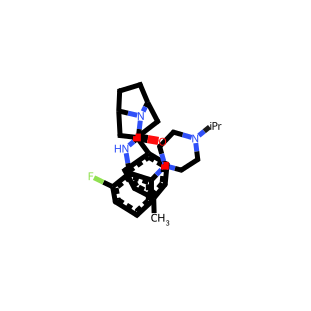 Cc1ccc(C2CC3CCC(C2)N3C(=O)Nc2c(F)cccc2N2CCN(C(C)C)CC2)cc1